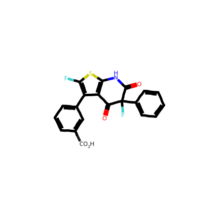 O=C(O)c1cccc(-c2c(F)sc3c2C(=O)C(F)(c2ccccc2)C(=O)N3)c1